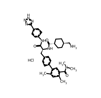 Cc1cc(C)c(-c2ccc(C[C@H](NC(=O)[C@H]3CC[C@H](CN)CC3)C(=O)Nc3ccc(-c4nn[nH]n4)cc3)cc2)cc1C(=O)N(C)C.Cl